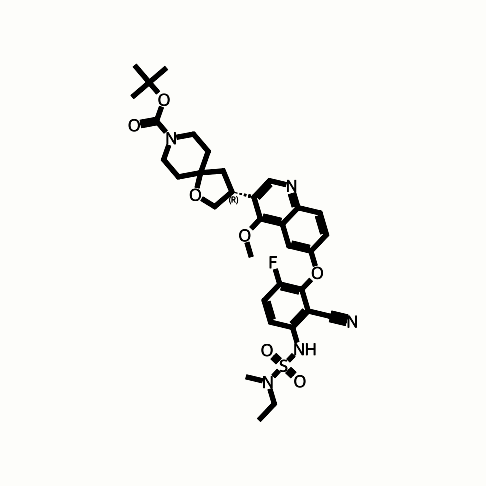 CCN(C)S(=O)(=O)Nc1ccc(F)c(Oc2ccc3ncc([C@@H]4COC5(CCN(C(=O)OC(C)(C)C)CC5)C4)c(OC)c3c2)c1C#N